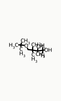 [2H]C([2H])(O)C(C)(C)C(C)(C)COC(C)(C)C